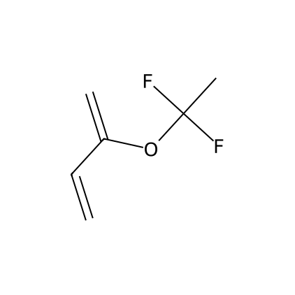 C=CC(=C)OC(C)(F)F